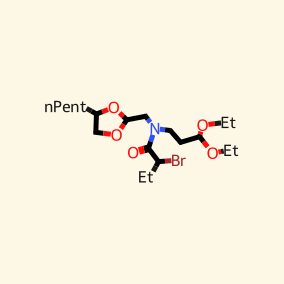 CCCCCC1COC(CN(CCC(OCC)OCC)C(=O)C(Br)CC)O1